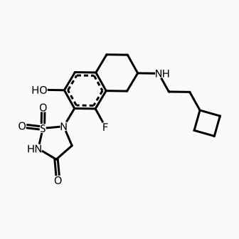 O=C1CN(c2c(O)cc3c(c2F)CC(NCCC2CCC2)CC3)S(=O)(=O)N1